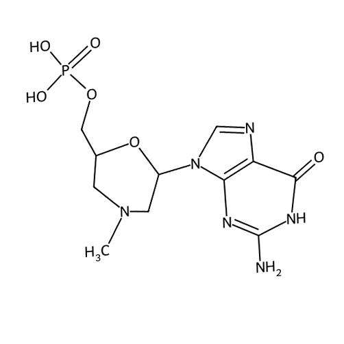 CN1CC(COP(=O)(O)O)OC(n2cnc3c(=O)[nH]c(N)nc32)C1